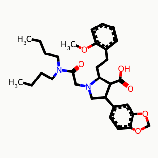 CCCCN(CCCC)C(=O)CN1CC(c2ccc3c(c2)OCO3)C(C(=O)O)C1CCc1ccccc1OC